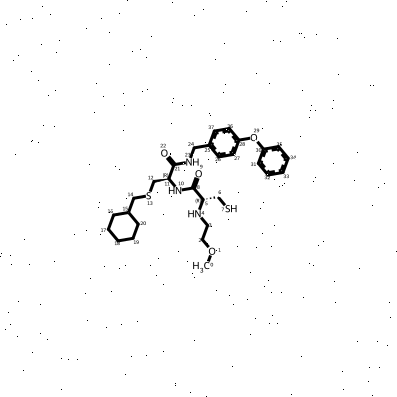 COCCN[C@@H](CS)C(=O)N[C@@H](CSCC1CCCCC1)C(=O)NCc1ccc(Oc2ccccc2)cc1